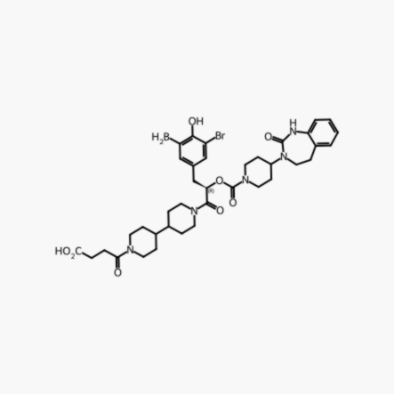 Bc1cc(C[C@@H](OC(=O)N2CCC(N3CCc4ccccc4NC3=O)CC2)C(=O)N2CCC(C3CCN(C(=O)CCC(=O)O)CC3)CC2)cc(Br)c1O